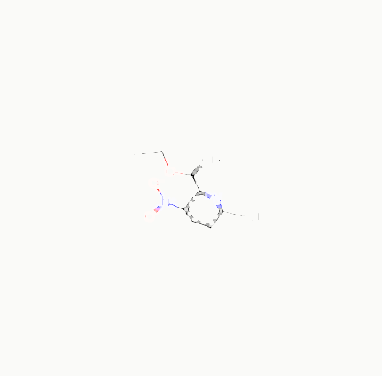 C=C(OCC)c1nc(C)ccc1[N+](=O)[O-]